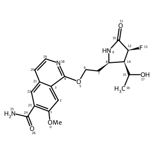 COc1cc2c(OCC[C@H]3NC(=O)[C@@H](F)[C@H]3C(C)O)nccc2cc1C(N)=O